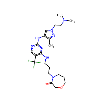 Cc1nn(CCN(C)C)cc1Nc1ncc(C(F)(F)F)c(NCCCN2CCCOCC2=O)n1